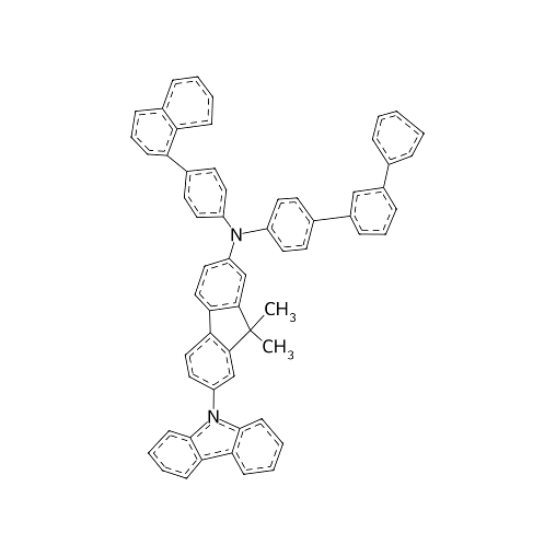 CC1(C)c2cc(N(c3ccc(-c4cccc(-c5ccccc5)c4)cc3)c3ccc(-c4cccc5ccccc45)cc3)ccc2-c2ccc(-n3c4ccccc4c4ccccc43)cc21